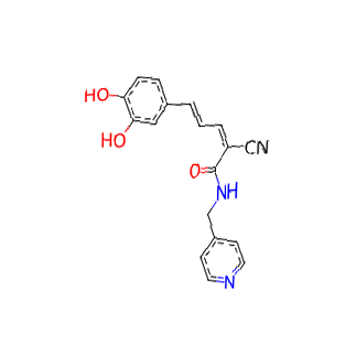 N#CC(=CC=Cc1ccc(O)c(O)c1)C(=O)NCc1ccncc1